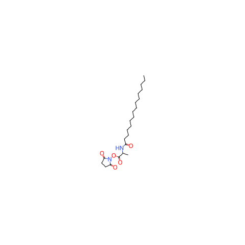 CCCCCCCCCCCCCCCC(=O)NC(C)C(=O)ON1C(=O)CCC1=O